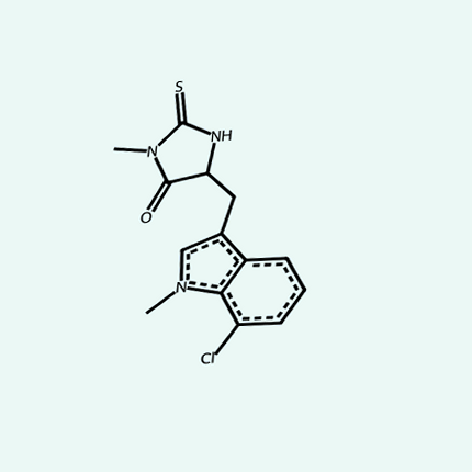 CN1C(=O)C(Cc2cn(C)c3c(Cl)cccc23)NC1=S